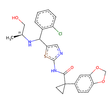 C[C@@H](CO)NC(c1cnc(NC(=O)C2(c3ccc4c(c3)OCO4)CC2)s1)c1ccccc1Cl